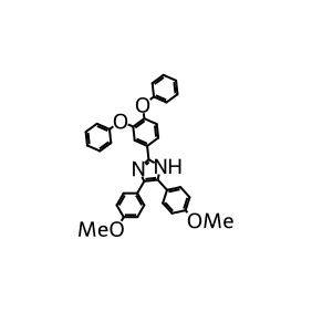 COc1ccc(-c2nc(-c3ccc(Oc4ccccc4)c(Oc4ccccc4)c3)[nH]c2-c2ccc(OC)cc2)cc1